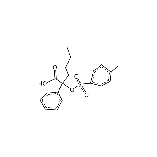 CCCCC(OS(=O)(=O)c1ccc(C)cc1)(C(=O)O)c1ccccc1